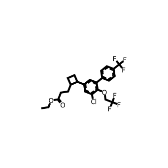 CCOC(=O)CCC1CCC1c1cc(Cl)c(OCC(F)(F)F)c(-c2ccc(C(F)(F)F)cc2)c1